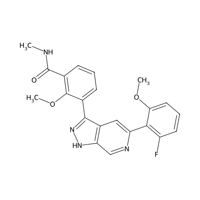 CNC(=O)c1cccc(-c2n[nH]c3cnc(-c4c(F)cccc4OC)cc23)c1OC